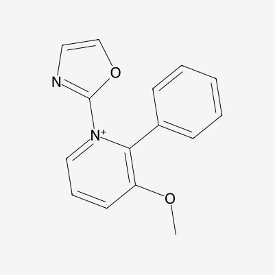 COc1ccc[n+](-c2ncco2)c1-c1ccccc1